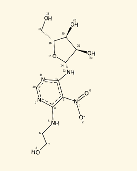 O=[N+]([O-])c1c(NCCO)ncnc1N[C@@H]1O[C@H](CO)[C@@H](O)[C@H]1O